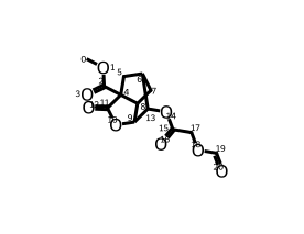 COC(=O)C12CC3CC1C(OC2=O)C3OC(=O)COC=O